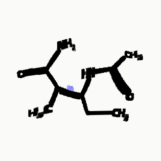 CC/C(NC(C)=O)=C(\C)C(N)=O